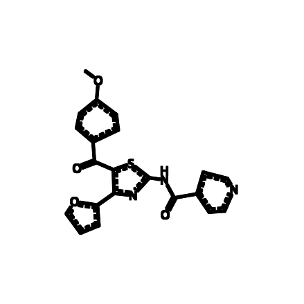 COc1ccc(C(=O)c2sc(NC(=O)c3ccncc3)nc2-c2ccco2)cc1